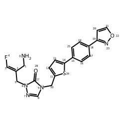 NC/C(=C\F)Cn1ncn(Cc2ccc(-c3ccc(-c4ccon4)cc3)s2)c1=O